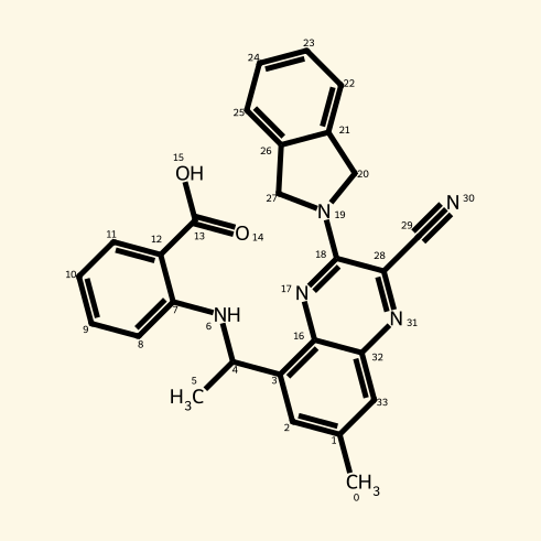 Cc1cc(C(C)Nc2ccccc2C(=O)O)c2nc(N3Cc4ccccc4C3)c(C#N)nc2c1